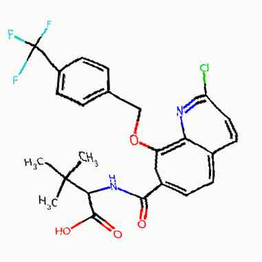 CC(C)(C)C(NC(=O)c1ccc2ccc(Cl)nc2c1OCc1ccc(C(F)(F)F)cc1)C(=O)O